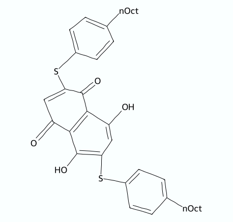 CCCCCCCCc1ccc(SC2=CC(=O)c3c(O)c(Sc4ccc(CCCCCCCC)cc4)cc(O)c3C2=O)cc1